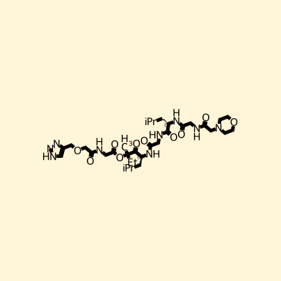 CCC(C)(OC(=O)CNC(=O)COCc1c[nH]nn1)C(=O)[C@H](CC(C)C)NC(=O)CNC(=O)[C@H](CC(C)C)NC(=O)CNC(=O)CN1CCOCC1